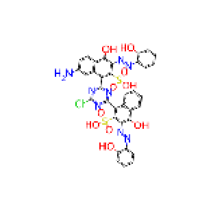 Nc1ccc2c(O)c(N=Nc3ccccc3O)c(S(=O)(=O)O)c(-c3nc(Cl)nc(-c4c(S(=O)(=O)O)c(N=Nc5ccccc5O)c(O)c5ccccc45)n3)c2c1